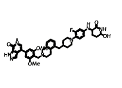 COc1cc(-c2cn(C)c(=O)c3[nH]ncc23)cc(OC)c1CN1CCc2c(CC3CCN(c4ccc(NC5CCC(O)NC5=O)cc4F)CC3)cccc2C1